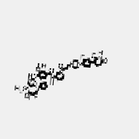 COc1cc(C(=O)NC2CCCN(C(=O)CCN3CCN(c4ccc(C5CCC(=O)NC5=O)cc4F)CC3)C2)ccc1Nc1ncc2c(n1)N(C1CCCC1)CC(F)(F)C(=O)N2C